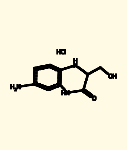 Cl.Nc1ccc2c(c1)NC(=O)C(CO)N2